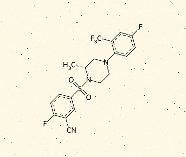 C[C@@H]1CN(c2ccc(F)cc2C(F)(F)F)CCN1S(=O)(=O)c1ccc(F)c(C#N)c1